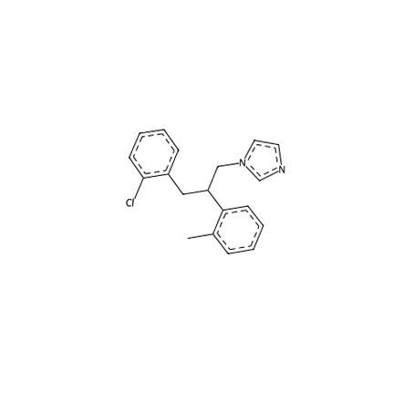 Cc1ccccc1C(Cc1ccccc1Cl)Cn1ccnc1